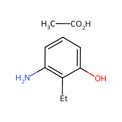 CC(=O)O.CCc1c(N)cccc1O